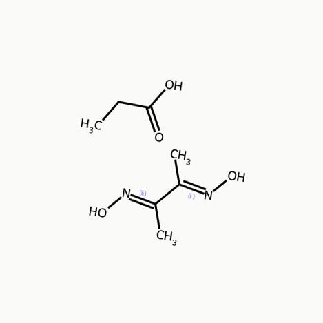 CC(=N\O)/C(C)=N/O.CCC(=O)O